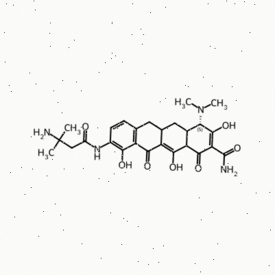 CN(C)[C@@H]1C(O)=C(C(N)=O)C(=O)C2C(O)=C3C(=O)c4c(ccc(NC(=O)CC(C)(C)N)c4O)CC3CC21